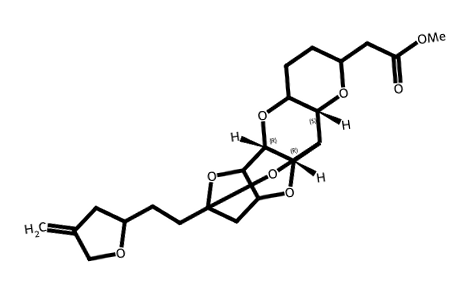 C=C1COC(CCC23CC4O[C@H]5C(O2)[C@H]2OC(CC(=O)OC)CCC2O[C@H]5C4O3)C1